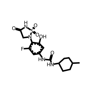 CC1CCC(NC(=O)Nc2cc(O)c(N3CC(=O)NS3(=O)=O)c(F)c2)CC1